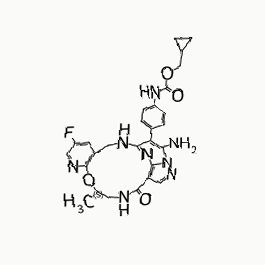 C[C@H]1CNC(=O)c2cnn3c(N)c(-c4ccc(NC(=O)OCC5CC5)cc4)c(nc23)NCc2cc(F)cnc2O1